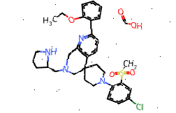 CCOc1ccccc1-c1ccc2c(n1)CN(C[C@H]1CCCN1)CC21CCN(c2ccc(Cl)cc2S(C)(=O)=O)CC1.O=CO